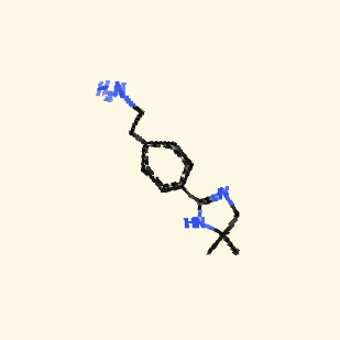 CC1(C)CN=C(c2ccc(CCN)cc2)N1